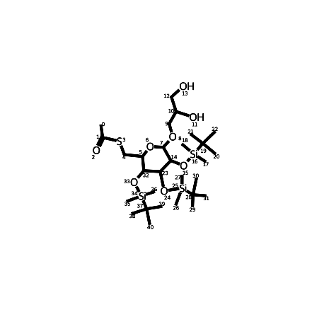 CC(=O)SCC1OC(OCC(O)CO)C(O[Si](C)(C)C(C)(C)C)C(O[Si](C)(C)C(C)(C)C)C1O[Si](C)(C)C(C)(C)C